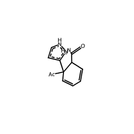 CC(=O)C1(c2cc[nH]n2)C=CC=CC1C(N)=O